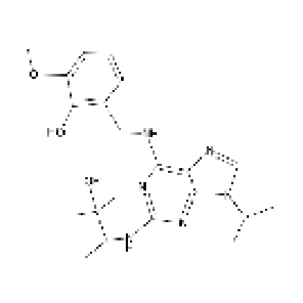 COc1cccc(CNc2nc(NC(C)C(C)(C)O)nc3c2ncn3C(C)C)c1O